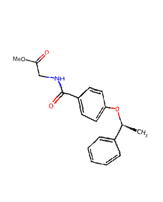 COC(=O)CNC(=O)c1ccc(O[C@@H](C)c2ccccc2)cc1